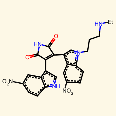 CCNCCCn1cc(C2=C(c3c[nH]c4ccc([N+](=O)[O-])cc34)C(=O)NC2=O)c2cc([N+](=O)[O-])ccc21